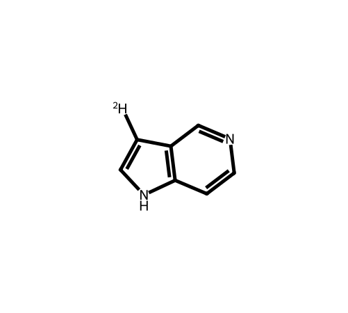 [2H]c1c[nH]c2ccncc12